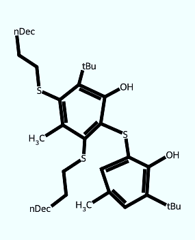 CCCCCCCCCCCCSc1c(C)c(SCCCCCCCCCCCC)c(C(C)(C)C)c(O)c1Sc1cc(C)cc(C(C)(C)C)c1O